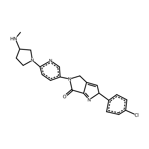 CNC1CCN(c2ccc(N3CC4=CC(c5ccc(Cl)cc5)N=C4C3=O)cn2)C1